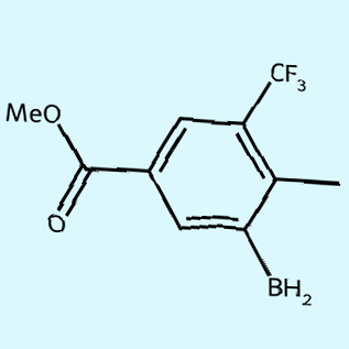 Bc1cc(C(=O)OC)cc(C(F)(F)F)c1C